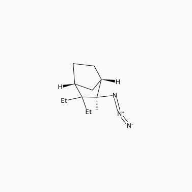 CCC1(CC)[C@@H]2CC[C@@H](C2)[C@@]1(C)N=[N+]=[N-]